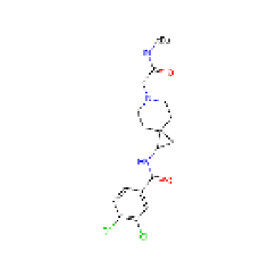 CC(C)(C)NC(=O)CN1CCC2(CC1)CC2NC(=O)c1ccc(Cl)c(Cl)c1